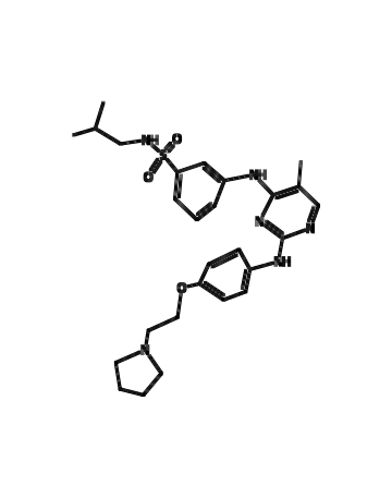 Cc1cnc(Nc2ccc(OCCN3CCCC3)cc2)nc1Nc1cccc(S(=O)(=O)NCC(C)C)c1